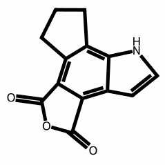 O=C1OC(=O)c2c1c1c(c3[nH]ccc23)CCC1